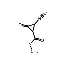 [C-]#[N+]C1C(=O)C1C(=O)NC